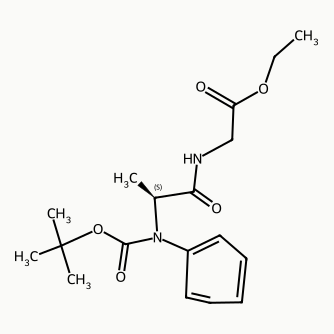 CCOC(=O)CNC(=O)[C@H](C)N(C(=O)OC(C)(C)C)c1ccccc1